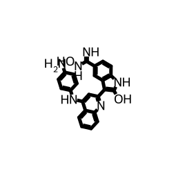 N=C(NO)c1ccc2[nH]c(O)c(-c3cc(Nc4ccc(N)cc4)c4ccccc4n3)c2c1